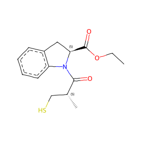 CCOC(=O)[C@@H]1Cc2ccccc2N1C(=O)[C@H](C)CS